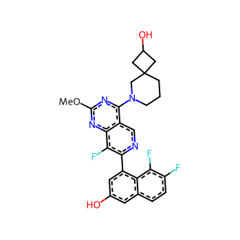 COc1nc(N2CCCC3(CC(O)C3)C2)c2cnc(-c3cc(O)cc4ccc(F)c(F)c34)c(F)c2n1